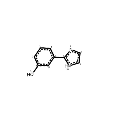 Oc1cccc(-c2n[c]c[nH]2)c1